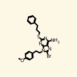 COc1ccc(CCn2c(Br)nc3c(N)nc(SCCCc4ccccc4)nc32)cc1